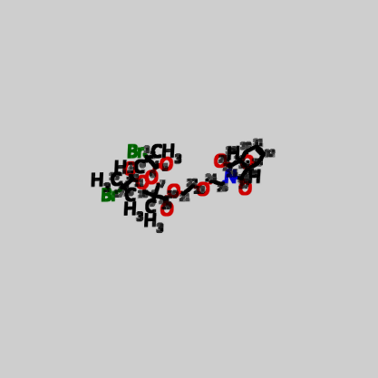 CC(C)(Br)C(=O)OCC(C)(COC(=O)C(C)(C)Br)C(=O)OCCOCCN1C(=O)[C@@H]2C3C=CC(O3)[C@@H]2C1=O